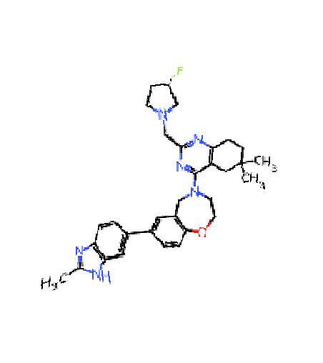 Cc1nc2ccc(-c3ccc4c(c3)CN(c3nc(CN5CC[C@H](F)C5)nc5c3CC(C)(C)CC5)CCO4)cc2[nH]1